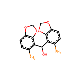 OC(c1c(P)ccc2c1OCO2)c1c(P)ccc2c1OCO2